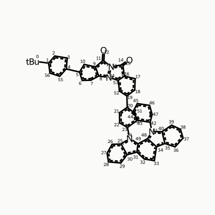 CC(C)(C)c1ccc(-c2ccc3c(c2)c(=O)n2c(=O)c4ccc(-c5ccc(-n6c7ccccc7c7ccc8c9ccccc9n(-c9ccccc9)c8c76)cc5)cc4n32)cc1